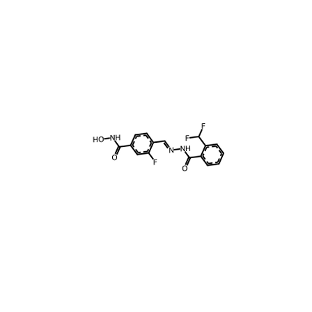 O=C(NO)c1ccc(C=NNC(=O)c2ccccc2C(F)F)c(F)c1